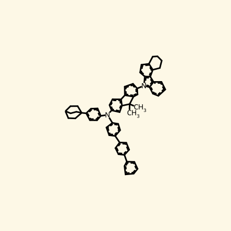 CC1(C)c2cc(N(c3ccc(-c4ccc(-c5ccccc5)cc4)cc3)c3ccc(C45CCC(CC4)CC5)cc3)ccc2-c2ccc(-n3c4ccccc4c4c5c(ccc43)CCCC5)cc21